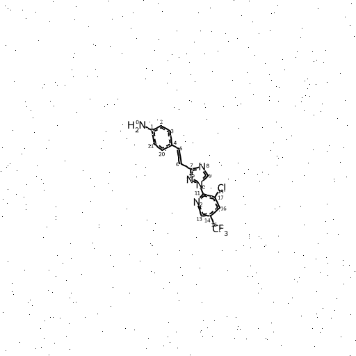 Nc1ccc(C=Cc2ncn(-c3ncc(C(F)(F)F)cc3Cl)n2)cc1